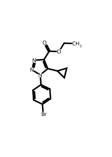 CCOC(=O)c1nnn(-c2ccc(Br)cc2)c1C1CC1